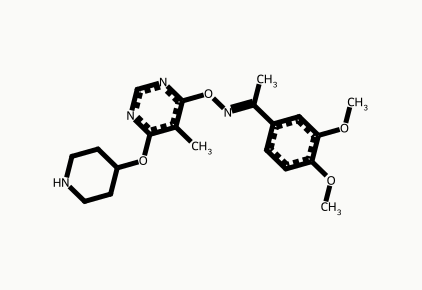 COc1ccc(C(C)=NOc2ncnc(OC3CCNCC3)c2C)cc1OC